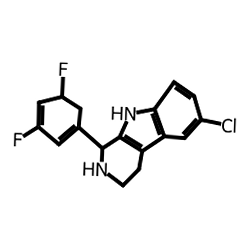 FC1=CC(F)CC(C2NCCc3c2[nH]c2ccc(Cl)cc32)=C1